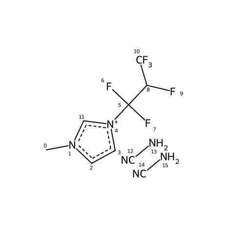 Cn1cc[n+](C(F)(F)C(F)C(F)(F)F)c1.N#CN.N#CN